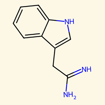 N=C(N)Cc1c[nH]c2ccccc12